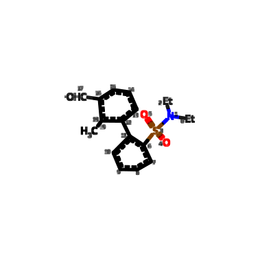 CCN(CC)S(=O)(=O)c1ccccc1-c1cccc([C]=O)c1C